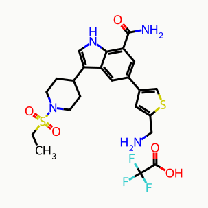 CCS(=O)(=O)N1CCC(c2c[nH]c3c(C(N)=O)cc(-c4csc(CN)c4)cc23)CC1.O=C(O)C(F)(F)F